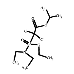 CCOP(=O)(N(CC)CC)C(Cl)(Cl)C(=O)OC(C)C